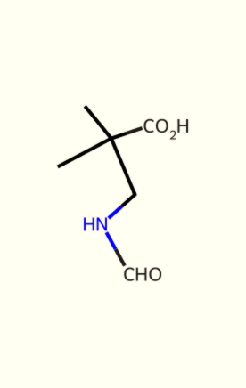 CC(C)(CNC=O)C(=O)O